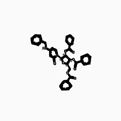 O=C(OC[C@H]1O[C@@H](n2ccc(NCc3ccccc3)cc2=O)[C@H](OC(=O)c2ccccc2)[C@@H]1OC(=O)c1ccccc1)c1ccccc1